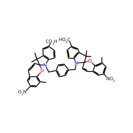 Cc1cc([N+](=O)[O-])cc2c1OC1(C=C2)N(Cc2ccc(CN3c4ccc(C(=O)O)cc4C(C)(C)C34C=Cc3cc([N+](=O)[O-])cc(C)c3O4)cc2)c2ccc(C(=O)O)cc2C1(C)C